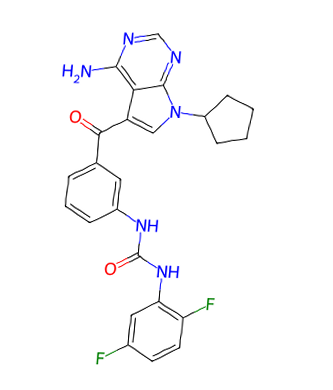 Nc1ncnc2c1c(C(=O)c1cccc(NC(=O)Nc3cc(F)ccc3F)c1)cn2C1CCCC1